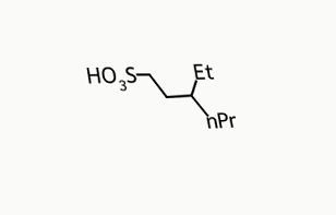 CCCC(CC)CCS(=O)(=O)O